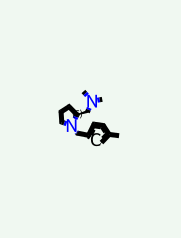 Cc1ccc(CN2CCC[C@H]2CN(C)C)cc1